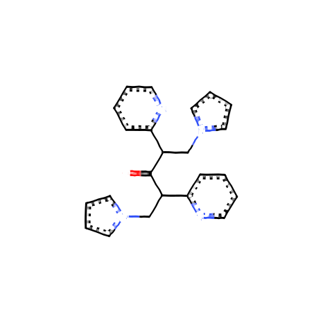 O=C(C(Cn1cccc1)c1ccccn1)C(Cn1cccc1)c1ccccn1